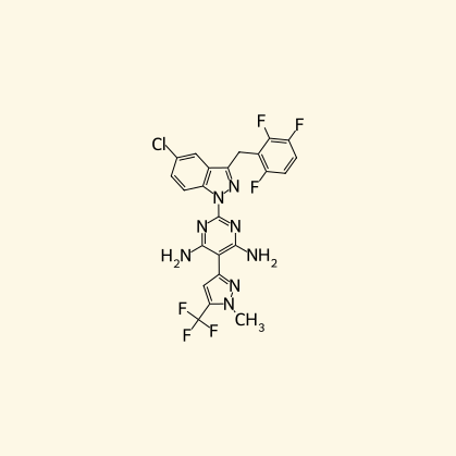 Cn1nc(-c2c(N)nc(-n3nc(Cc4c(F)ccc(F)c4F)c4cc(Cl)ccc43)nc2N)cc1C(F)(F)F